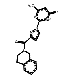 Cc1cc(=O)[nH]c(-n2ccc(C(=O)N3CCc4ccccc4C3)n2)n1